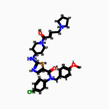 COc1ccc(CN(C(=O)c2cnc(NC3CCN(C(=O)C=CCN4CCCC4)CC3)s2)c2ccc(Cl)cc2)cc1